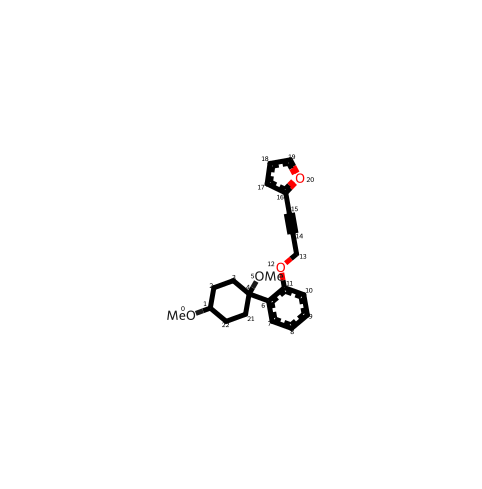 COC1CCC(OC)(c2ccccc2OCC#Cc2ccco2)CC1